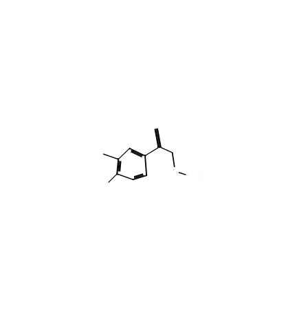 C[C@H](NC(=O)O)C(=O)c1ccc(F)c(C(F)(F)F)c1